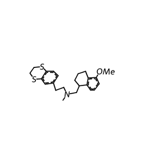 COc1cccc2c1CCCC2CN(C)CCc1ccc2c(c1)SCCS2